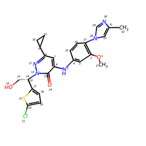 COc1cc(Nc2cc(C3CC3)nn([C@@H](CO)c3ccc(Cl)s3)c2=O)ccc1-n1cnc(C)c1